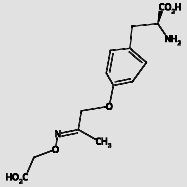 C/C(COc1ccc(C[C@H](N)C(=O)O)cc1)=N\OCC(=O)O